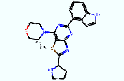 C[C@@H]1COCCN1c1nc(-c2cccc3[nH]ccc23)nc2nc(C3CCCN3)sc12